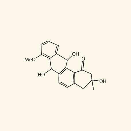 COc1cccc2c1C(O)c1ccc3c(c1C2O)C(=O)CC(C)(O)C3